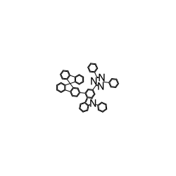 c1ccc(-c2nc(-c3ccccc3)nc(-c3cc(-c4ccc5c(c4)C4(c6ccccc6-c6ccccc64)c4ccccc4-5)c4c5ccccc5n(-c5ccccc5)c4c3)n2)cc1